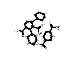 O=C(O)c1ccc(-c2ccccc2)c(C(=O)O)c1-c1ccccc1.O=C(O)c1ccc(C(=O)O)cc1